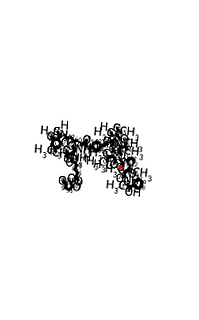 CC[C@@H](C)[C@H]([C@H](CC(=O)N1CCC[C@@H]1[C@@H](OC)[C@H](C)C(=O)N[C@@H](C)[C@H](O)c1ccccc1)OC)N(C)C(=O)[C@H](NC(=O)[C@@H](C(C)C)N(C)C(=O)OCc1ccc(NC(=O)[C@@H](CCCCNC(C)=C2C(=O)CC(C)(C)CC2=O)NC(=O)[C@H](NC(=O)CCCC(=O)ON2C(=O)CCC2=O)C(C)C)cc1)C(C)C